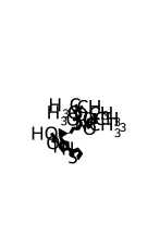 CC(C)(C)OC(=O)N(CCC[C@H]1C[C@]1(C(=O)O)c1cn(-c2cccs2)cn1)C(=O)OC(C)(C)C